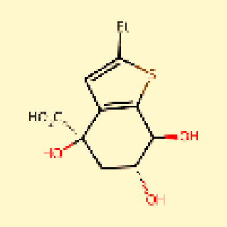 CCc1cc2c(s1)[C@@H](O)[C@H](O)C[C@]2(O)C(=O)O